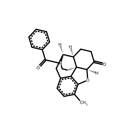 Cc1ccc2c3c1O[C@@H]1C(=O)CC[C@@H]4[C@H](C2)N(C(=O)c2ccccc2)CC[C@@]314